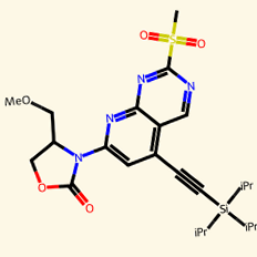 COCC1COC(=O)N1c1cc(C#C[Si](C(C)C)(C(C)C)C(C)C)c2cnc(S(C)(=O)=O)nc2n1